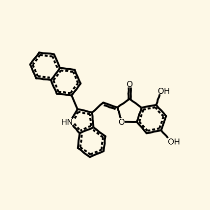 O=C1/C(=C/c2c(-c3ccc4ccccc4c3)[nH]c3ccccc23)Oc2cc(O)cc(O)c21